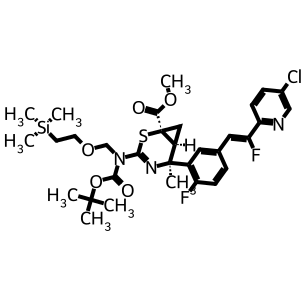 COC(=O)[C@]12C[C@H]1[C@@](C)(c1cc(/C=C(\F)c3ccc(Cl)cn3)ccc1F)N=C(N(COCC[Si](C)(C)C)C(=O)OC(C)(C)C)S2